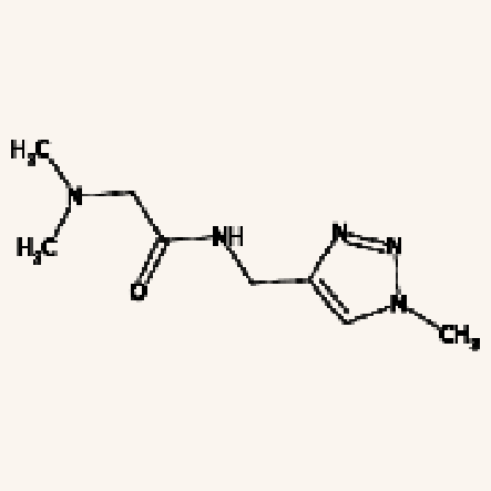 CN(C)CC(=O)NCc1cn(C)nn1